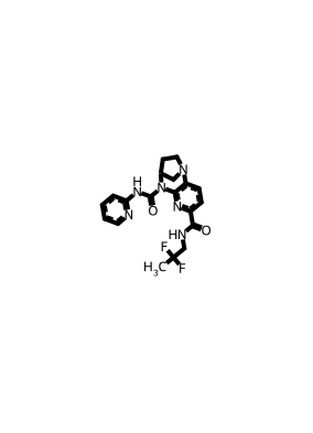 CC(F)(F)CNC(=O)c1ccc2c(n1)N(C(=O)Nc1ccccn1)C1CCN2C1